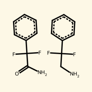 NC(=O)C(F)(F)c1ccccc1.NCC(F)(F)c1ccccc1